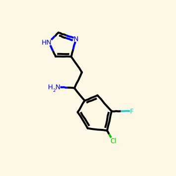 NC(Cc1c[nH]cn1)c1ccc(Cl)c(F)c1